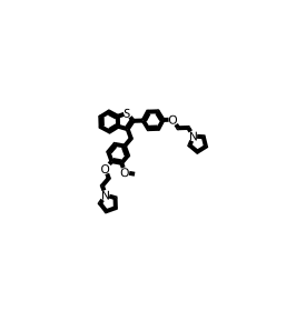 COc1cc(Cc2c(-c3ccc(OCCN4CCCC4)cc3)sc3ccccc23)ccc1OCCN1CCCC1